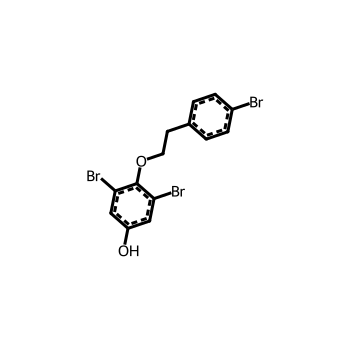 Oc1cc(Br)c(OCCc2ccc(Br)cc2)c(Br)c1